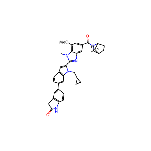 COc1cc(C(=O)N2CC3CCC2[C@@H]3C)cc2nc(-c3cc4ccc(-c5ccc6c(c5)CC(=O)N6)cc4n3CC3CC3)n(C)c12